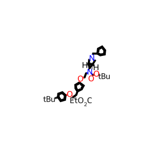 CCOC(=O)[C@H](Cc1ccc(OCCN(C(=O)OC(C)(C)C)[C@H]2[C@@H]3CN(Cc4ccccc4)C[C@@H]32)cc1)Oc1ccc(C(C)(C)C)cc1